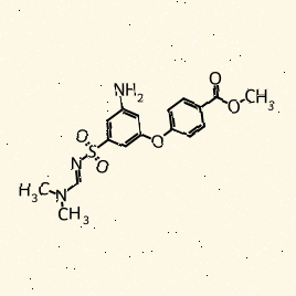 COC(=O)c1ccc(Oc2cc(N)cc(S(=O)(=O)N=CN(C)C)c2)cc1